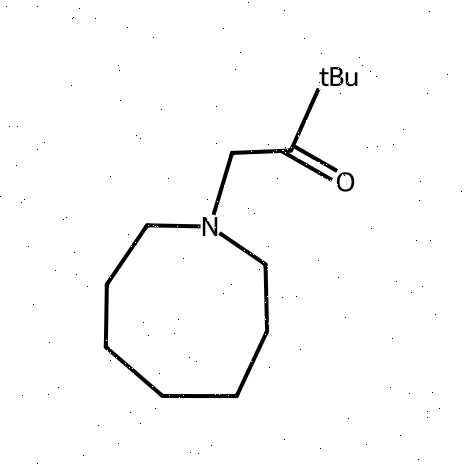 CC(C)(C)C(=O)CN1CCCCCCC1